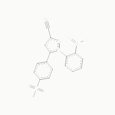 CS(=O)(=O)c1ccc(-c2cc(C#N)nn2-c2ccccc2[N+](=O)[O-])cc1